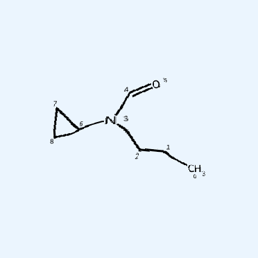 CCCN(C=O)C1CC1